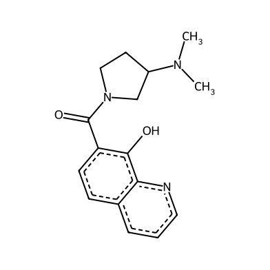 CN(C)C1CCN(C(=O)c2ccc3cccnc3c2O)C1